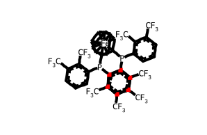 FC(F)(F)c1cccc(P(c2cccc(C(F)(F)F)c2C(F)(F)F)[C]23[CH]4[CH]5[CH]6[C]2(P(c2cccc(C(F)(F)F)c2C(F)(F)F)c2cccc(C(F)(F)F)c2C(F)(F)F)[Fe]54632789[CH]3[CH]2[CH]7[CH]8[CH]39)c1C(F)(F)F